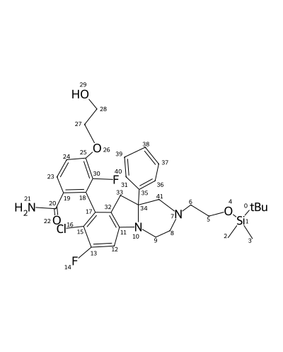 CC(C)(C)[Si](C)(C)OCCN1CCN2c3cc(F)c(Cl)c(-c4c(C(N)=O)ccc(OCCO)c4F)c3CC2(c2ccccc2)C1